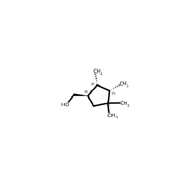 C[C@H]1[C@H](CO)CC(C)(C)[C@H]1C